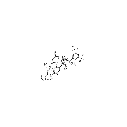 Cc1cc(F)ccc1-c1cc(N2CCN3CCCC3C2CO)ncc1N(C)C(=O)C(C)(C)c1cc(C(F)(F)F)cc(C(F)(F)F)c1